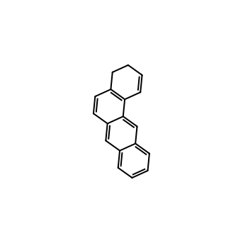 C1=Cc2c(ccc3cc4ccccc4cc23)CC1